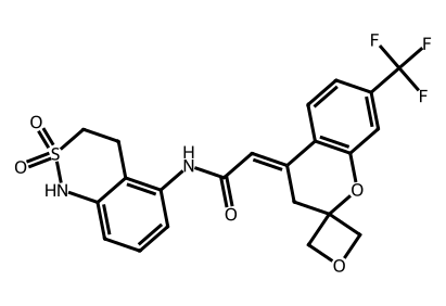 O=C(C=C1CC2(COC2)Oc2cc(C(F)(F)F)ccc21)Nc1cccc2c1CCS(=O)(=O)N2